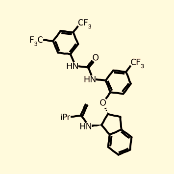 C=C(N[C@@H]1c2ccccc2C[C@H]1Oc1ccc(C(F)(F)F)cc1NC(=O)Nc1cc(C(F)(F)F)cc(C(F)(F)F)c1)C(C)C